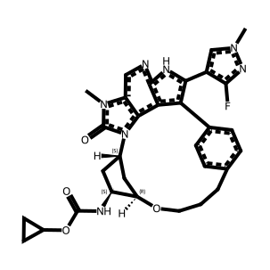 Cn1cc(-c2[nH]c3ncc4c5c3c2-c2ccc(cc2)CCCO[C@@H]2C[C@H](C[C@@H]2NC(=O)OC2CC2)n5c(=O)n4C)c(F)n1